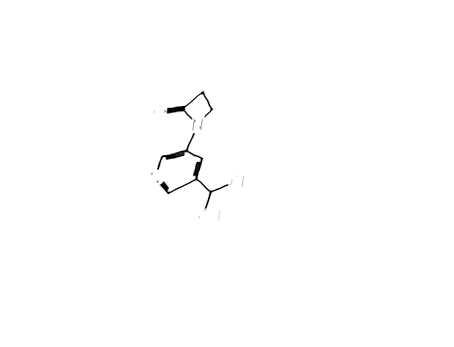 CC(C)c1cncc(N2CCC2=O)c1